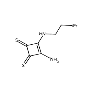 CC(C)CCNc1c(N)c(=S)c1=S